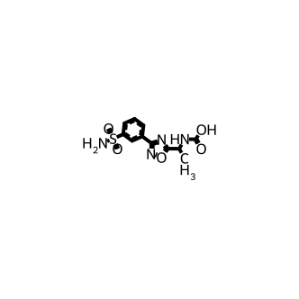 CC(NC(=O)O)c1nc(-c2cccc(S(N)(=O)=O)c2)no1